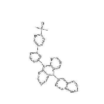 CP(C)(=O)c1ccc(-c2cccc(-c3c4ccccc4c(-c4ccc5ccccc5c4)c4ccccc34)c2)cc1